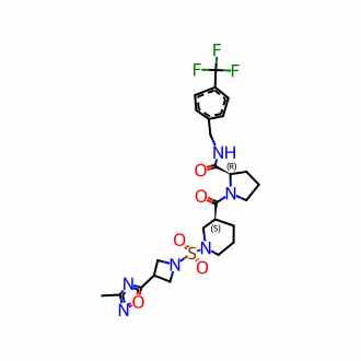 Cc1noc(C2CN(S(=O)(=O)N3CCC[C@H](C(=O)N4CCC[C@@H]4C(=O)NCc4ccc(C(F)(F)F)cc4)C3)C2)n1